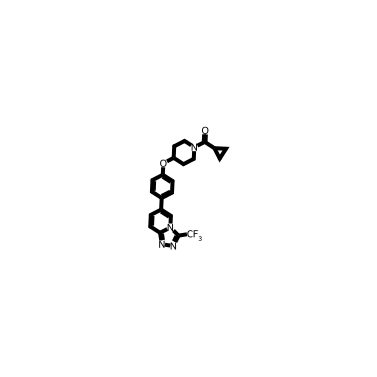 O=C(C1CC1)N1CCC(Oc2ccc(-c3ccc4nnc(C(F)(F)F)n4c3)cc2)CC1